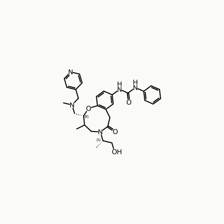 CC1CN([C@@H](C)CO)C(=O)Cc2cc(NC(=O)Nc3ccccc3)ccc2O[C@H]1CN(C)Cc1ccncc1